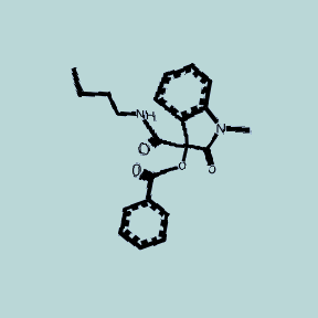 CCCCNC(=O)C1(OC(=O)c2ccccc2)C(=O)N(C)c2ccccc21